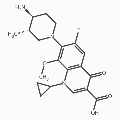 COc1c(N2CC[C@H](N)[C@@H](C)C2)c(F)cc2c(=O)c(C(=O)O)cn(C3CC3)c12